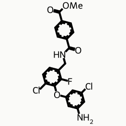 COC(=O)c1ccc(C(=O)NCc2ccc(Cl)c(Oc3cc(N)cc(Cl)c3)c2F)cc1